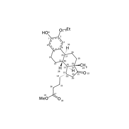 CCOc1cc2c(cc1O)CC[C@H]1[C@@H]3[C@@H](CCCC(=O)OC)CC(=O)[C@@]3(C)CC[C@H]21